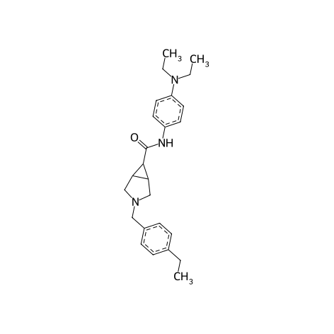 CCc1ccc(CN2CC3C(C2)C3C(=O)Nc2ccc(N(CC)CC)cc2)cc1